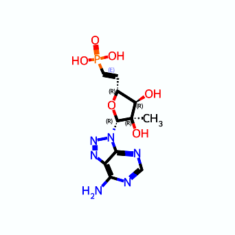 C[C@@]1(O)[C@H](O)[C@@H](/C=C/P(=O)(O)O)O[C@H]1n1nnc2c(N)ncnc21